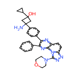 NC1(c2ccc(-c3nc4ccc5nnc(N6CCOCC6)n5c4nc3-c3ccccc3)cc2)CC(O)(C2CC2)C1